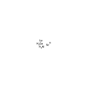 [AlH3].[GaH3].[Lu].[Sc].[Y]